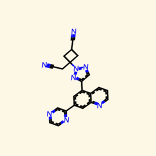 N#CCC1(n2ncc(-c3cc(-c4cnccn4)cc4ncccc34)n2)CC(C#N)C1